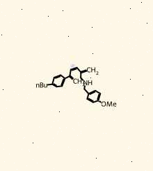 C=C(/C=C\C(=C)c1ccc(CCCC)cc1)CNCc1ccc(OC)cc1